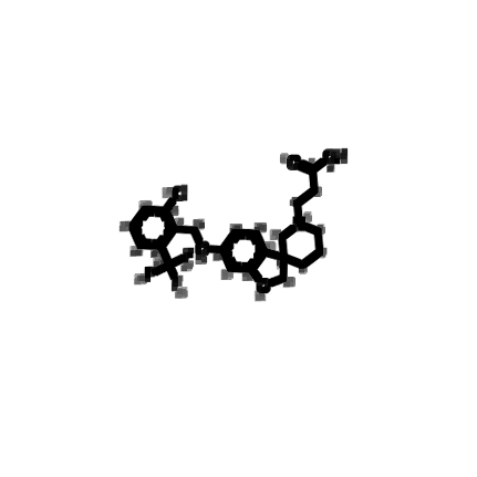 O=C(O)CCN1CCCC2(COc3cc(OCc4c(Cl)cccc4C(F)(F)F)ccc32)C1